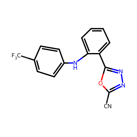 N#Cc1nnc(-c2ccccc2Nc2ccc(C(F)(F)F)cc2)o1